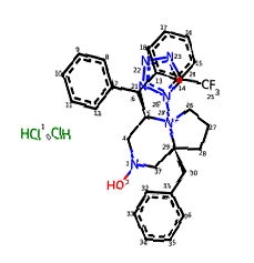 Cl.Cl.ON1C[C@@H](C(c2ccccc2)c2ccccc2)[N+]2(n3nnnc3C(F)(F)F)CCC[C@]2(Cc2ccccc2)C1